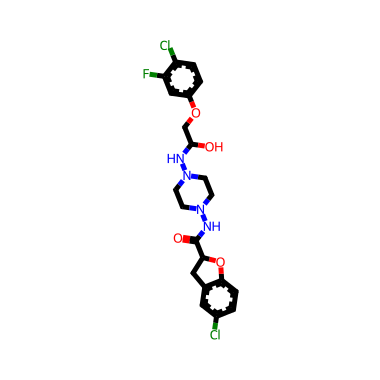 O=C(NN1CCN(NC(O)COc2ccc(Cl)c(F)c2)CC1)C1Cc2cc(Cl)ccc2O1